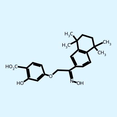 CC1(C)CCC(C)(C)c2cc(/C(COc3ccc(C(=O)O)c(O)c3)=N\O)ccc21